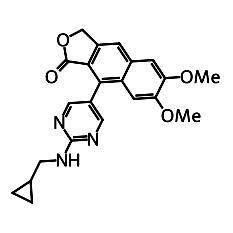 COc1cc2cc3c(c(-c4cnc(NCC5CC5)nc4)c2cc1OC)C(=O)OC3